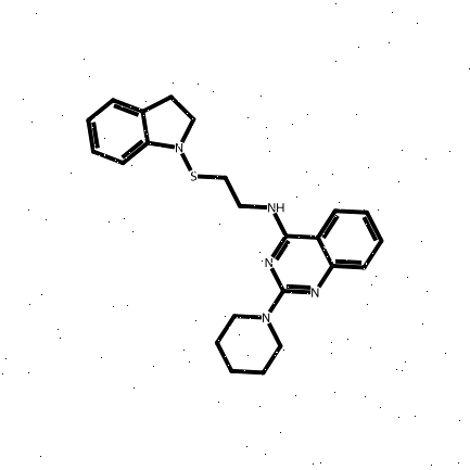 c1ccc2c(c1)CCN2SCCNc1nc(N2CCCCC2)nc2ccccc12